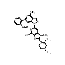 COc1ccncc1-c1cc2c(cnn2-c2cc3c(nc(N4CCN(C)C[C@@H]4C)n3C)c(C(C)C)n2)c(C)n1